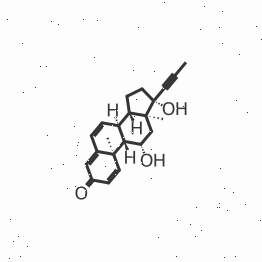 CC#C[C@]1(O)CC[C@H]2[C@@H]3C=CC4=CC(=O)C=C[C@]4(C)[C@H]3[C@@H](O)C[C@@]21C